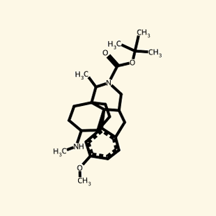 CNC1CCC23CCC1C21c2cc(OC)ccc2CC1CN(C(=O)OC(C)(C)C)C3C